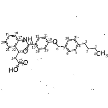 CCCCc1ccc(COc2ccc(C(=O)Nc3ccccc3CCC(=O)O)cc2)cc1